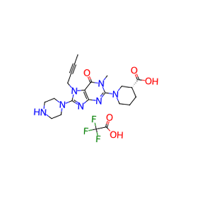 CC#CCn1c(N2CCNCC2)nc2nc(N3CCC[C@@H](C(=O)O)C3)n(C)c(=O)c21.O=C(O)C(F)(F)F